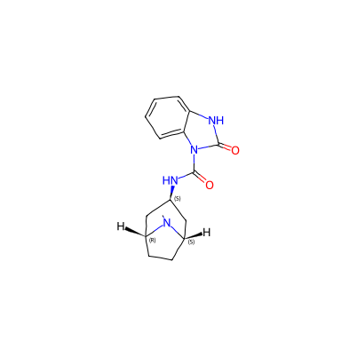 CN1[C@@H]2CC[C@H]1C[C@H](NC(=O)n1c(=O)[nH]c3ccccc31)C2